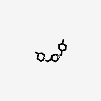 CC1CCC(CN2CC=C(CN3CCC(C)CC3)CC2)CC1